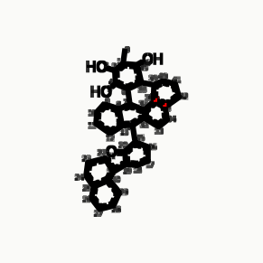 Cc1c(O)c(O)c(-c2c3ccccc3c(-c3cccc4c3oc3ccc5ccccc5c34)c3ccccc23)c(-c2ccccc2)c1O